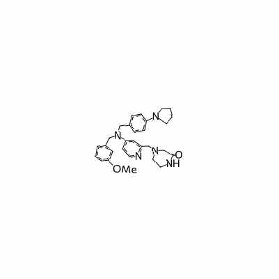 COc1cccc(CN(Cc2ccc(N3CCCC3)cc2)c2ccnc(CN3CCNC(=O)C3)c2)c1